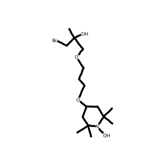 CC(O)(CBr)COCCCOC1CC(C)(C)N(O)C(C)(C)C1